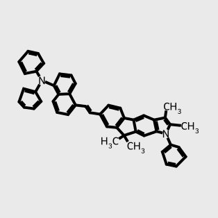 Cc1c(C)n(-c2ccccc2)c2cc3c(cc12)-c1ccc(/C=C/c2cccc4c(N(c5ccccc5)c5ccccc5)cccc24)cc1C3(C)C